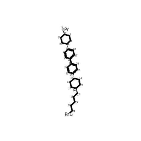 CCC[C@H]1CC[C@H](c2ccc(-c3ccc([C@H]4CC[C@H](CCCCCBr)CC4)cc3)cc2)CC1